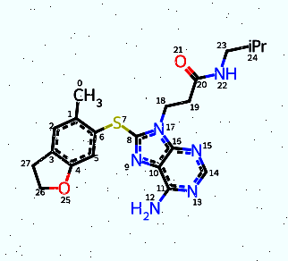 Cc1cc2c(cc1Sc1nc3c(N)ncnc3n1CCC(=O)NCC(C)C)OCC2